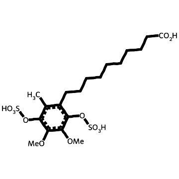 COc1c(OS(=O)(=O)O)c(C)c(CCCCCCCCCC(=O)O)c(OS(=O)(=O)O)c1OC